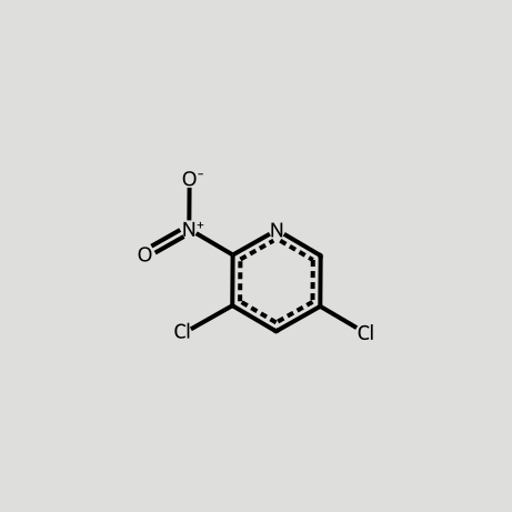 O=[N+]([O-])c1ncc(Cl)cc1Cl